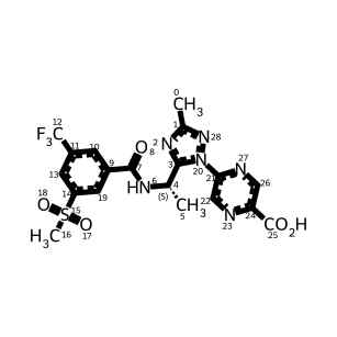 Cc1nc([C@H](C)NC(=O)c2cc(C(F)(F)F)cc(S(C)(=O)=O)c2)n(-c2cnc(C(=O)O)cn2)n1